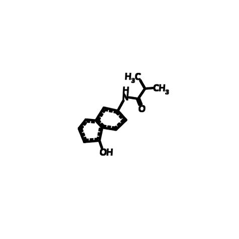 CC(C)C(=O)Nc1ccc2c(O)cccc2c1